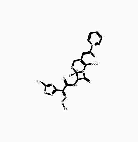 CCON=C(C(=O)NC1C(=O)N2C(C(=O)[O-])=C(C=C(C)[n+]3ccccc3)CS[C@@H]12)c1nsc(N)n1